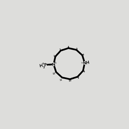 PN1CCCCCNCCCCC1